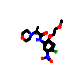 COCCOc1cc(F)c([N+](=O)[O-])cc1NC(=O)[C@H](C)N1CCOCC1